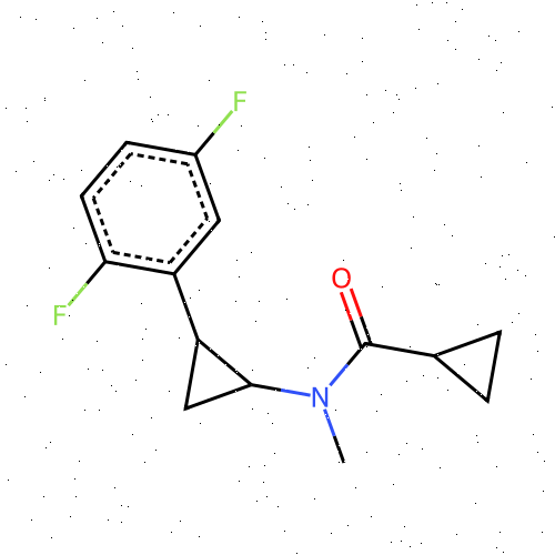 CN(C(=O)C1CC1)C1CC1c1cc(F)ccc1F